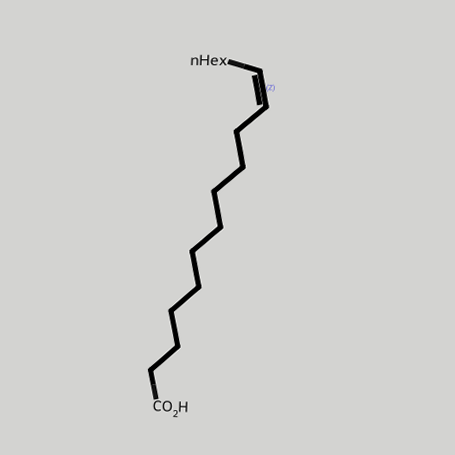 CCCCCC/C=C\CCCCCCCCC[13C](=O)O